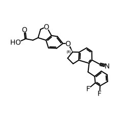 N#Cc1ccc2c(c1Cc1cccc(F)c1F)CC[C@H]2Oc1ccc2c(c1)OCC2CC(=O)O